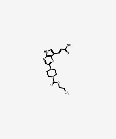 NC(=O)C=Cc1c[nH]c2ncc(N3CCN(C(=O)OCCC(F)(F)F)CC3)nc12